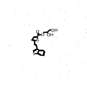 O=C(OCC(O)CO)c1ccc(C=Cc2csc3ccccc23)s1